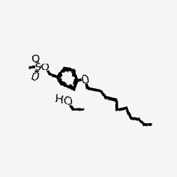 CCCCCCCCCCOc1ccc(COS(C)(=O)=O)cc1.CCO